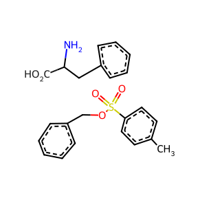 Cc1ccc(S(=O)(=O)OCc2ccccc2)cc1.NC(Cc1ccccc1)C(=O)O